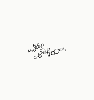 COC(=O)CN(C)C(=O)CC[C@@H](NC(=O)c1ccc(Cl)s1)C(=O)Nc1ccc2c(c1)CCN(C)CC2